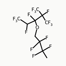 CC(F)(F)C(F)(F)COC(F)(C(F)C(F)(F)F)C(F)(C(F)(F)F)C(F)(F)F